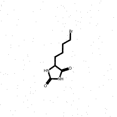 O=C1NC(=O)C(CCCCBr)N1